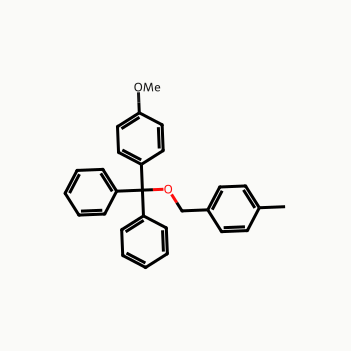 COc1ccc(C(OCc2ccc(C)cc2)(c2ccccc2)c2ccccc2)cc1